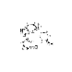 O[C@H]1CC[C@H](Nc2ccc3ncc(-c4ccnc(Cl)c4)n3n2)CC1